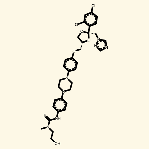 CN(CCO)C(=S)Nc1ccc(N2CCN(c3ccc(OC[C@@H]4CO[C@@](Cn5cncn5)(c5ccc(Cl)cc5Cl)O4)cc3)CC2)cc1